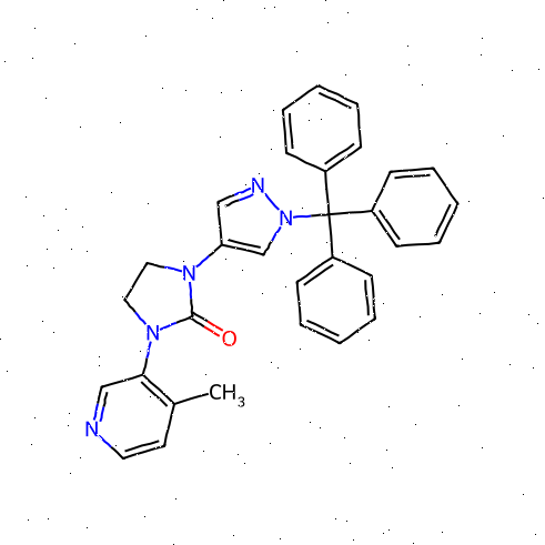 Cc1ccncc1N1CCN(c2cnn(C(c3ccccc3)(c3ccccc3)c3ccccc3)c2)C1=O